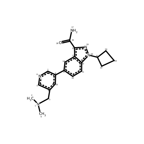 CN(C)Cc1cncc(-c2ccc3c(c2)c(C(N)=O)nn3C2CCC2)c1